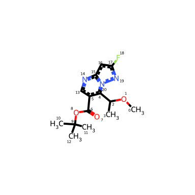 COC(C)c1c(C(=O)OC(C)(C)C)cnc2cc(F)nn12